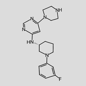 Fc1cccc(N2CCC[C@@H](Nc3cc(N4CCNCC4)ncn3)C2)c1